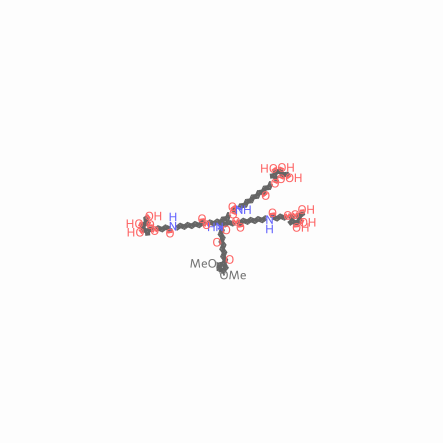 COC[C@H]1C[C@H](OC)CC1C(=O)CCCCC(=O)CCC(=O)NC(CCCOC(=O)CCCCCCCNC(=O)CCCOC1OC(CO)C(O)C(O)C1C)(CCCOC(=O)CCCCCCCNC(=O)CCCOC1OC(CO)C(O)C(O)C1C)CCCOC(=O)NCCCCCCCC(=O)CCCOC1OC(CO)C(O)C(O)C1C